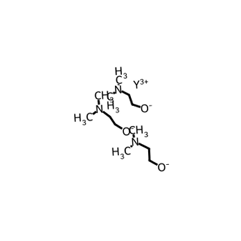 CN(C)CC[O-].CN(C)CC[O-].CN(C)CC[O-].[Y+3]